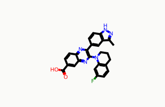 Cc1n[nH]c2ccc(-c3nc4ccc(C(=O)O)cc4nc3N3CCCc4ccc(F)cc43)cc12